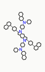 c1ccc(N(c2ccc(-n3c(-c4ccc(-c5cccc6ccccc56)cc4)cc4cc5c(cc(-c6ccc(-c7cccc8ccccc78)cc6)n5-c5ccc(N(c6ccccc6)c6ccc7ccccc7c6)cc5)cc43)cc2)c2ccc3ccccc3c2)cc1